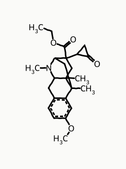 CCOC(=O)C1(C2CC2=O)CC2(C)C3Cc4ccc(OC)cc4C2(C)CC1N3C